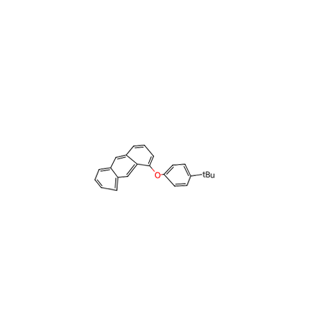 CC(C)(C)c1ccc(Oc2cccc3cc4ccccc4cc23)cc1